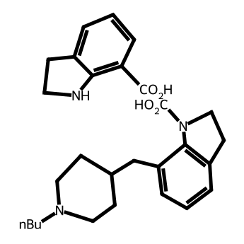 CCCCN1CCC(Cc2cccc3c2N(C(=O)O)CC3)CC1.O=C(O)c1cccc2c1NCC2